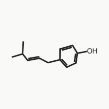 CC(C)/C=C/Cc1ccc(O)cc1